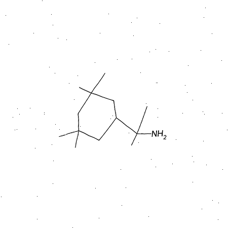 CC1(C)CC(C(C)(C)N)CC(C)(C)C1